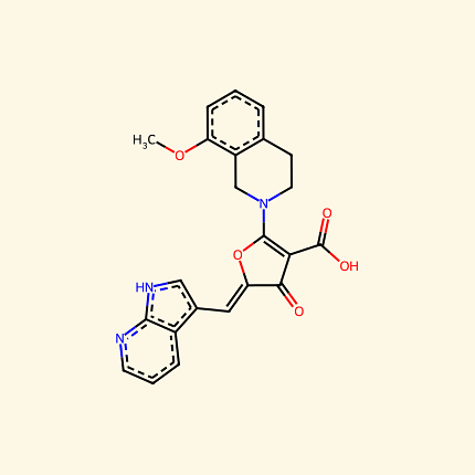 COc1cccc2c1CN(C1=C(C(=O)O)C(=O)/C(=C/c3c[nH]c4ncccc34)O1)CC2